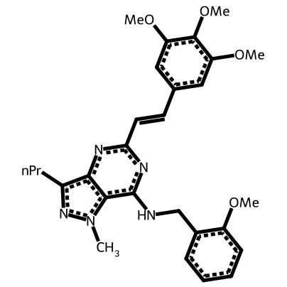 CCCc1nn(C)c2c(NCc3ccccc3OC)nc(/C=C/c3cc(OC)c(OC)c(OC)c3)nc12